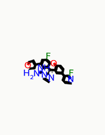 N=C(N)n1ccnc1[C@@H]1c2cc(-c3cccnc3F)ccc2Oc2c(F)cc(C3=CCOCC3)cc21